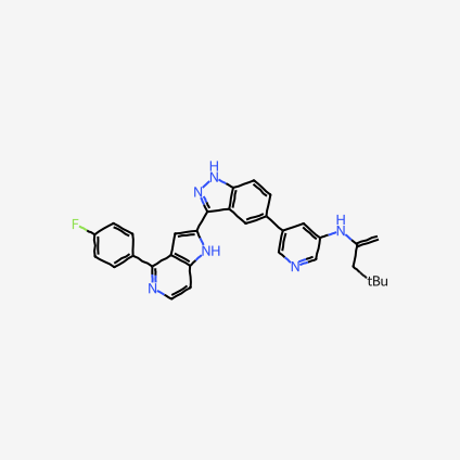 C=C(CC(C)(C)C)Nc1cncc(-c2ccc3[nH]nc(-c4cc5c(-c6ccc(F)cc6)nccc5[nH]4)c3c2)c1